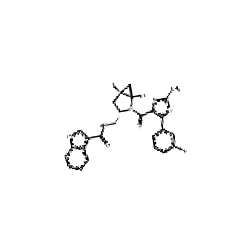 Nc1nc(C(=O)N2[C@H](CNC(=O)c3c[nH]c4ccccc34)C[C@@H]3C[C@@H]32)c(-c2cccc(F)c2)s1